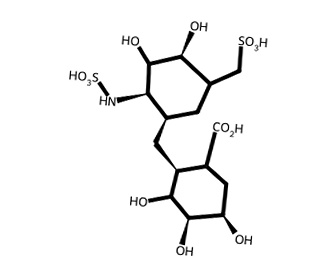 O=C(O)C1C[C@@H](O)[C@@H](O)C(O)[C@H]1C[C@@H]1CC(CS(=O)(=O)O)[C@H](O)C(O)[C@@H]1NS(=O)(=O)O